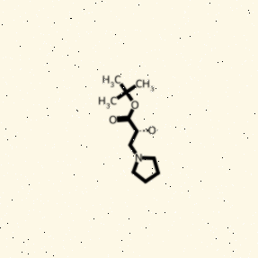 CC(C)(C)OC(=O)[C@H]([O])CN1CCCC1